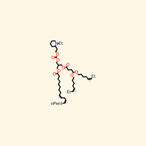 CC/C=C\CCCCOC(CCC(=O)OCC(COC(=O)CCCCCCC/C=C\C/C=C\CCCCC)COC(=O)OCCC1CCCCN1CC)OCCCC/C=C\CC